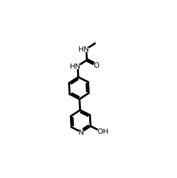 CNC(=O)Nc1ccc(-c2ccnc(O)c2)cc1